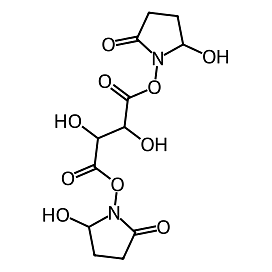 O=C(ON1C(=O)CCC1O)C(O)C(O)C(=O)ON1C(=O)CCC1O